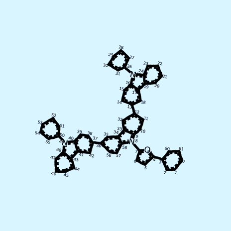 c1ccc(-c2ccc(-n3c4ccc(-c5ccc6c(c5)c5ccccc5n6-c5ccccc5)cc4c4cc(-c5ccc6c(c5)c5ccccc5n6-c5ccccc5)ccc43)o2)cc1